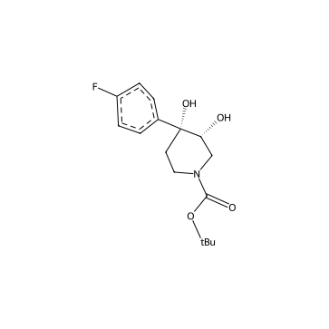 CC(C)(C)OC(=O)N1CC[C@@](O)(c2ccc(F)cc2)[C@H](O)C1